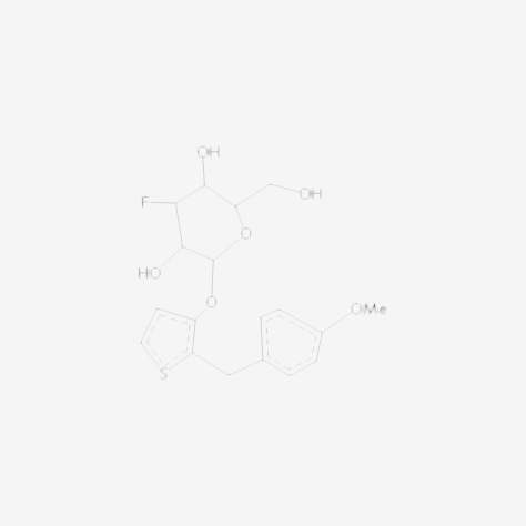 COc1ccc(Cc2sccc2OC2OC(CO)C(O)C(F)C2O)cc1